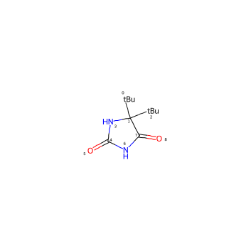 CC(C)(C)C1(C(C)(C)C)NC(=O)NC1=O